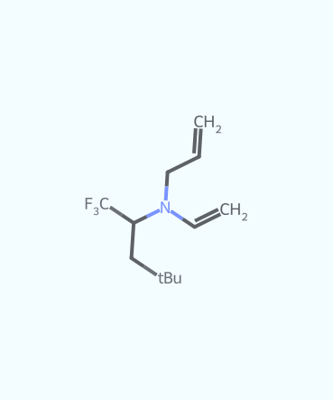 C=CCN(C=C)C(CC(C)(C)C)C(F)(F)F